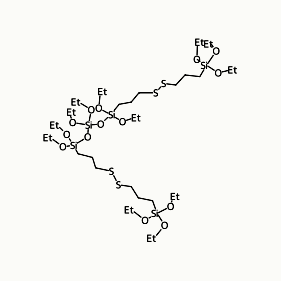 CCO[Si](CCCSSCCC[Si](OCC)(OCC)O[Si](OCC)(OCC)O[Si](CCCSSCCC[Si](OCC)(OCC)OCC)(OCC)OCC)(OCC)OCC